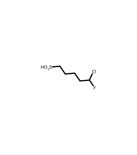 O=S(=O)(O)CCCCC(F)Cl